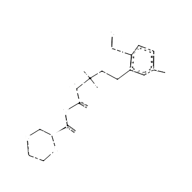 CC(C)(CCc1cc(Cl)ccc1CN)[C@@H](O)C(=O)NC(=O)[C@@H]1CNCCN1